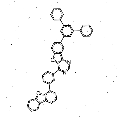 c1ccc(-c2cc(-c3ccccc3)cc(-c3ccc4oc5c(-c6cccc(-c7cccc8c7oc7ccccc78)c6)ncnc5c4c3)c2)cc1